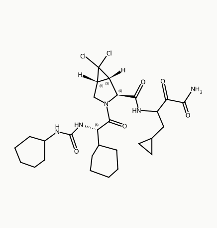 NC(=O)C(=O)C(CC1CC1)NC(=O)[C@@H]1[C@@H]2[C@H](CN1C(=O)[C@@H](NC(=O)NC1CCCCC1)C1CCCCC1)C2(Cl)Cl